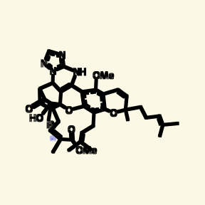 COC(=O)/C(C)=C\CC1(O)C(=O)C2CC(C(C)C)C13Oc1c(CC=C(C)C)c4c(c(OC)c1C1=C3C2n2ncnc2N1)C=CC(C)(CCC=C(C)C)O4